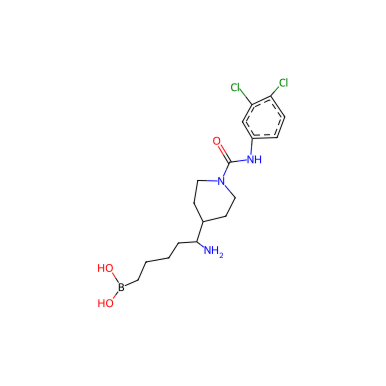 NC(CCCCB(O)O)C1CCN(C(=O)Nc2ccc(Cl)c(Cl)c2)CC1